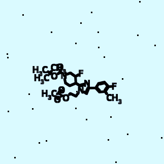 Cc1cc(-c2cn(CCOS(C)(=O)=O)c(C3CCN(C(=O)OC(C)(C)C)CC3F)n2)ccc1F